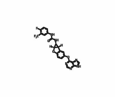 O=C(Nc1ccc(F)c(C(F)(F)F)c1)N[C@@H]1[C@H]2Oc3ccc(Oc4ncnc5[nH]cnc45)cc3[C@@H]12